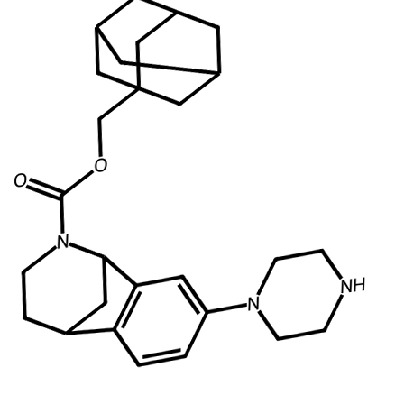 O=C(OCC12CC3CC(CC(C3)C1)C2)N1CCC2CC1c1cc(N3CCNCC3)ccc12